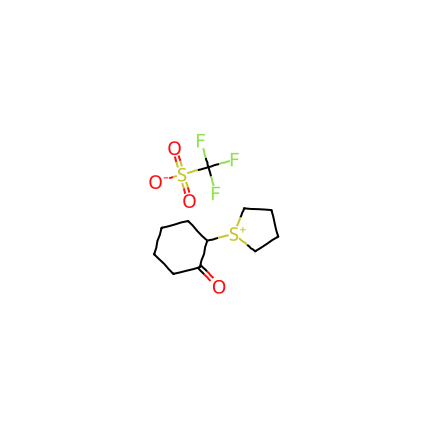 O=C1CCCCC1[S+]1CCCC1.O=S(=O)([O-])C(F)(F)F